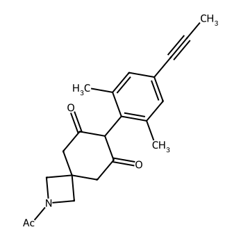 CC#Cc1cc(C)c(C2C(=O)CC3(CC2=O)CN(C(C)=O)C3)c(C)c1